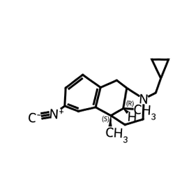 [C-]#[N+]c1ccc2c(c1)[C@@]1(C)CCN(CC3CC3)C(C2)[C@@H]1C